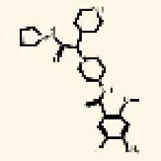 COc1cc(N)c(Cl)cc1C(=O)NC1CCN(C(C(=O)NN2CCCC2)C2CCNCC2)CC1